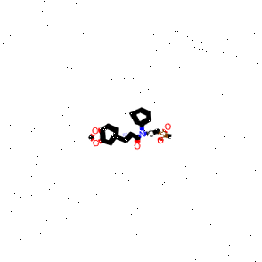 CS(=O)(=O)CCN(C(=O)/C=C/c1ccc2c(c1)OCO2)c1ccccc1